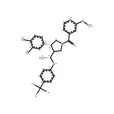 COc1cc(C(=O)N2CC([C@@H](C)Oc3ccc(C(F)(F)F)cc3)[C@H](c3ccc(Cl)c(Cl)c3)C2)ccn1